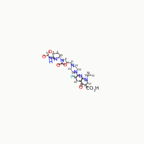 O=C1COc2ccc(N3C[C@@H](CN4CCN(c5nc6c(cc5F)c(=O)c(C(=O)O)cn6C5CC5)CC4)OC3=O)nc2N1